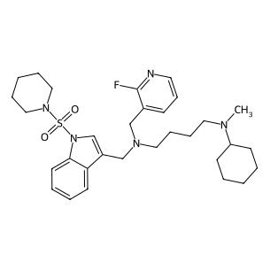 CN(CCCCN(Cc1cccnc1F)Cc1cn(S(=O)(=O)N2CCCCC2)c2ccccc12)C1CCCCC1